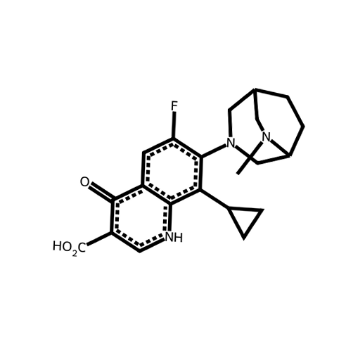 CN1CC2CCC1CN(c1c(F)cc3c(=O)c(C(=O)O)c[nH]c3c1C1CC1)C2